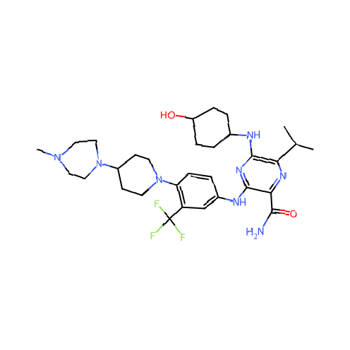 CC(C)c1nc(C(N)=O)c(Nc2ccc(N3CCC(N4CCN(C)CC4)CC3)c(C(F)(F)F)c2)nc1NC1CCC(O)CC1